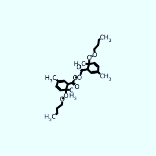 CCCCOOC1(C)C=CC(C)=CC1C(=O)OOC(=O)C1C=C(C)C=CC1(C)OOCCCC